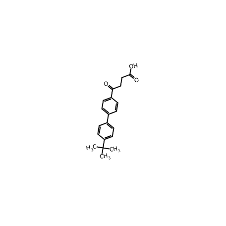 CC(C)(C)c1ccc(-c2ccc(C(=O)CCC(=O)O)cc2)cc1